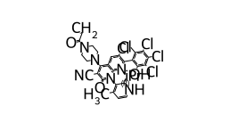 C=CC(=O)N1CCN(c2c(C#N)c(=O)n(C3=C(C)C=CN[C@@H]3C(C)C)c3nc(-c4c(O)c(Cl)c(Cl)c(Cl)c4Cl)c(Cl)cc23)CC1